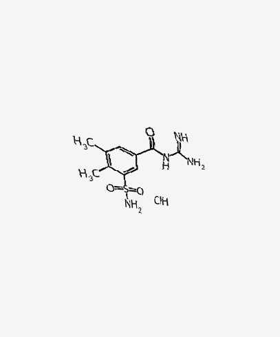 Cc1cc(C(=O)NC(=N)N)cc(S(N)(=O)=O)c1C.Cl